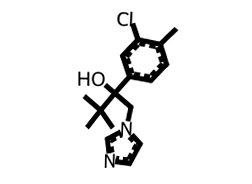 Cc1ccc(C(O)(Cn2ccnc2)C(C)(C)C)cc1Cl